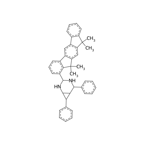 CC1(C)c2ccccc2-c2cc3c(cc21)C(C)(C)c1c-3cccc1C1NC(c2ccccc2)C2C(N1)C2c1ccccc1